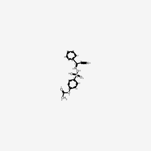 CC(=O)Oc1ccc(S(=O)(=O)ON=C(C#N)c2ccccc2)cc1